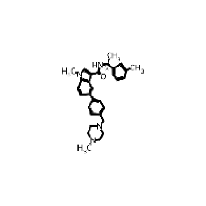 Cc1cccc([C@H](C)NC(=O)c2cn(C)c3ccc(-c4ccc(CN5CCN(C)CC5)cc4)cc23)c1